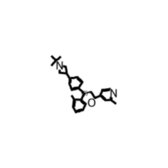 Cc1cc(C(=O)C[C@H](c2ccc(C3CN(C(C)(C)C)C3)cc2)c2ccccc2C)ccn1